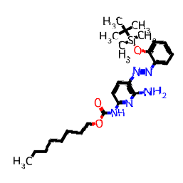 CCCCCCCCOC(=O)Nc1ccc(N=Nc2ccccc2O[Si](C)(C)C(C)(C)C)c(N)n1